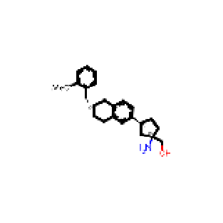 COc1ccccc1C[C@H]1CCc2cc([C@H]3CC[C@](N)(CO)C3)ccc2C1